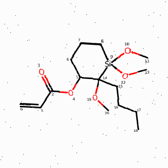 C=CC(=O)OC1CCC[Si](OC)(OC)C1(CCCC)OC